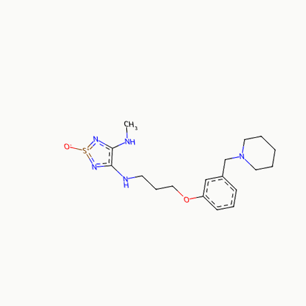 CNc1n[s+]([O-])nc1NCCCOc1cccc(CN2CCCCC2)c1